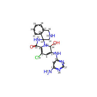 Nc1cc(NC2=CC(Cl)=C3C(=O)NC4(CNCc5ccccc54)N3C2O)ncn1